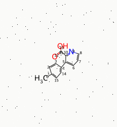 Cc1ccc(-c2cccnc2C(=O)O)cc1